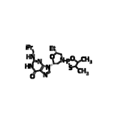 CC[C@@H]1CN(P2OC(C)C(C)S2)C[C@H](n2cnc3c(=O)[nH]c(NCC(C)C)nc32)O1